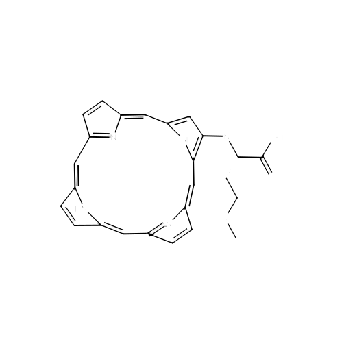 CSCC[C@H](Nc1cc2cc3nc(cc4ccc(cc5nc(cc1[nH]2)C=C5)[nH]4)C=C3)C(=O)O